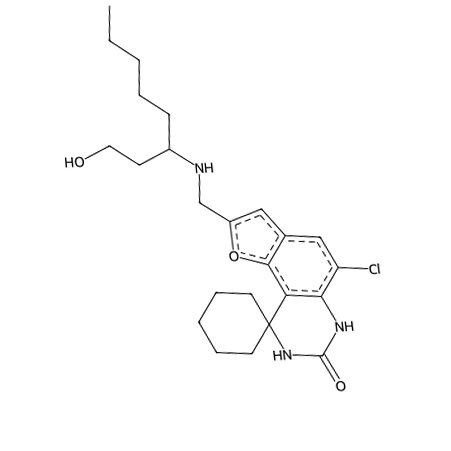 CCCCCC(CCO)NCc1cc2cc(Cl)c3c(c2o1)C1(CCCCC1)NC(=O)N3